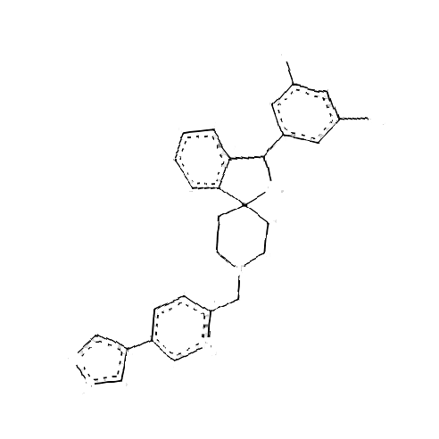 Clc1cc(Cl)cc(C2OC3(CCN(Cc4ccc(-c5cnoc5)cn4)CC3)c3ccccc32)c1